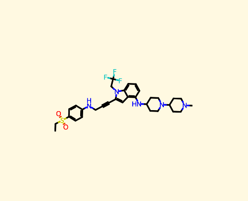 CCS(=O)(=O)c1ccc(NCC#Cc2cc3c(NC4CCN(C5CCN(C)CC5)CC4)cccc3n2CC(F)(F)F)cc1